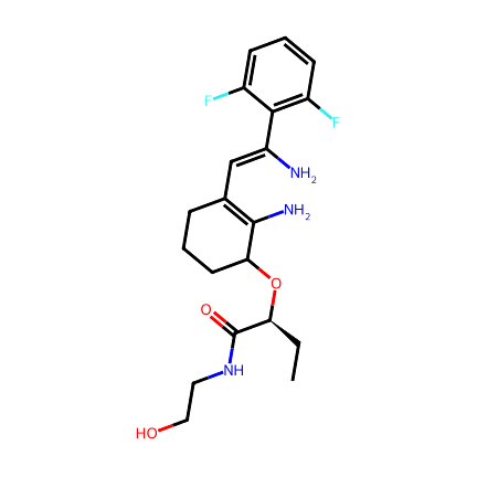 CC[C@H](OC1CCCC(/C=C(\N)c2c(F)cccc2F)=C1N)C(=O)NCCO